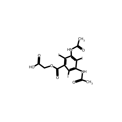 CC(=O)Nc1c(I)c(NC(C)=O)c(I)c(C(=O)OCC(=O)O)c1I